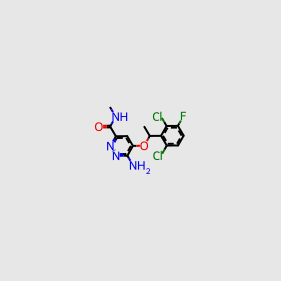 CNC(=O)c1cc(OC(C)c2c(Cl)ccc(F)c2Cl)c(N)nn1